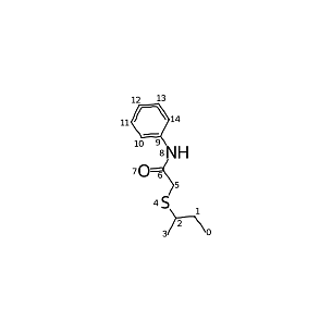 CCC(C)SCC(=O)NC1=CC=C=C=C1